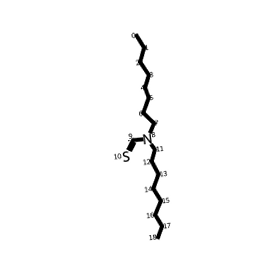 CCCCCCCCN([C]=S)CCCCCCCC